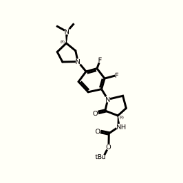 CN(C)[C@@H]1CCN(c2ccc(N3CC[C@@H](NC(=O)OC(C)(C)C)C3=O)c(F)c2F)C1